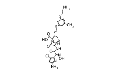 Cc1cc(S/C=C/C2=C(C(=O)O)N3C(=O)[C@@H](NC(=O)C(=NO)c4nc(N)sc4Cl)[C@H]3SC2)nc(SCCN)n1